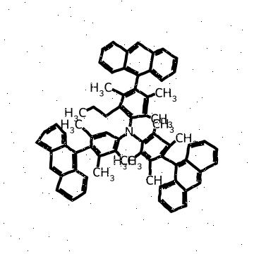 CCCc1c(C)c(-c2c3ccccc3cc3ccccc23)c(C)c(C)c1N(c1cc(C)c(-c2c3ccccc3cc3ccccc23)c(C)c1C)c1c(C)c(C)c(-c2c3ccccc3cc3ccccc23)c(C)c1C